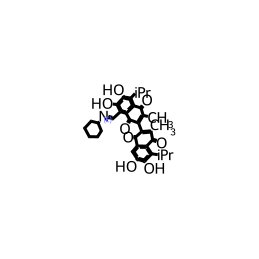 CC1=C(C2=C(C)C(=O)c3c(c(/C=N/C4CCCCC4)c(O)c(O)c3C(C)C)C2=O)C(=O)c2cc(O)c(O)c(C(C)C)c2C1=O